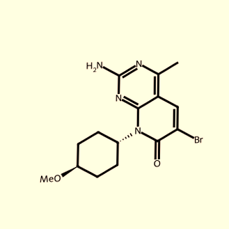 CO[C@H]1CC[C@H](n2c(=O)c(Br)cc3c(C)nc(N)nc32)CC1